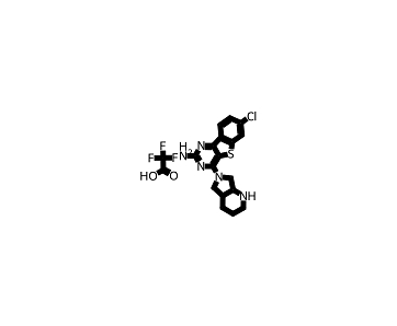 Nc1nc(N2CC3CCCNC3C2)c2sc3cc(Cl)ccc3c2n1.O=C(O)C(F)(F)F